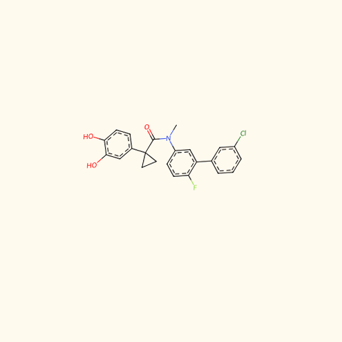 CN(C(=O)C1(c2ccc(O)c(O)c2)CC1)c1ccc(F)c(-c2cccc(Cl)c2)c1